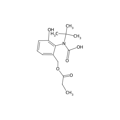 CCC(=O)OCc1cccc(O)c1N(C(=O)O)C(C)(C)C